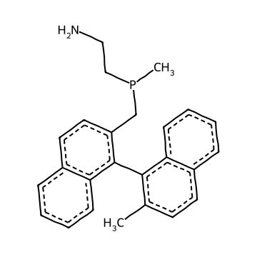 Cc1ccc2ccccc2c1-c1c(CP(C)CCN)ccc2ccccc12